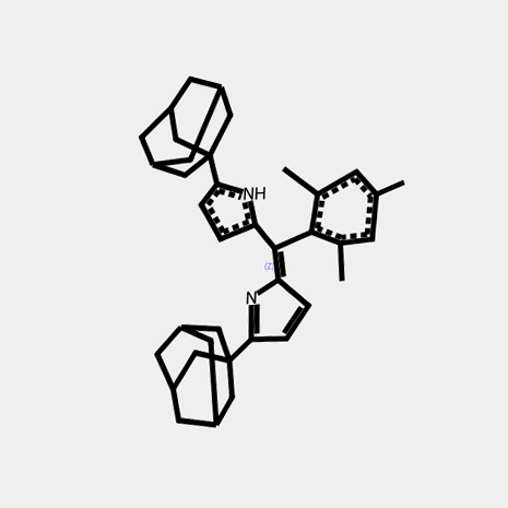 Cc1cc(C)c(/C(=C2\C=CC(C34CC5CC(CC(C5)C3)C4)=N2)c2ccc(C34CC5CC(CC(C5)C3)C4)[nH]2)c(C)c1